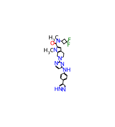 CN(C(=O)c1cc2c(n1C)CN(c1nccc(Nc3ccc(-c4cn[nH]c4)cc3)n1)CC2)C1CC(F)(F)C1